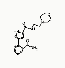 NC(=O)c1cccnc1-c1c[nH]c(C(=O)NCCN2CCOCC2)c1